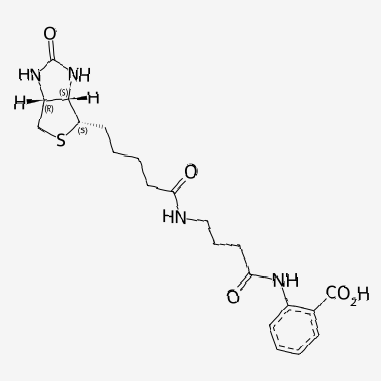 O=C(CCCC[C@@H]1SC[C@@H]2NC(=O)N[C@@H]21)NCCCC(=O)Nc1ccccc1C(=O)O